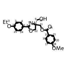 CCOc1ccc(C2=N[C@@](CO)(COC(=O)c3ccc(OC)cc3)CO2)cc1